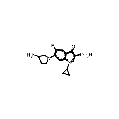 NC1CCN(c2cc3c(cc2F)c(=O)c(C(=O)O)cn3C2CC2)C1